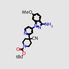 COc1ccc2c(N)nn(-c3ccnc(C4(C#N)CCN(C(=O)OC(C)(C)C)CC4)c3)c2c1